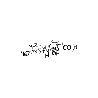 O=C(O)CC1C=CC[C@H](NC(=O)Cc2cccc(O)c2)B(O)O1